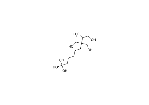 CC(CO)C(CO)(CO)CCCCCC(O)(O)O